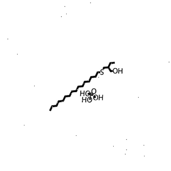 CCCCCCCCCCCCCCCCSCC(CC)CO.O=P(O)(O)O